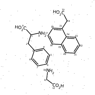 NC(Cc1ccccc1)C(=O)O.NCC(=O)O.O=C(O)Cc1cccc2ccccc12